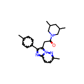 Cc1ccc(-c2nc3ccc(C)nn3c2CC(=O)N2CC(C)CC(C)C2)cc1